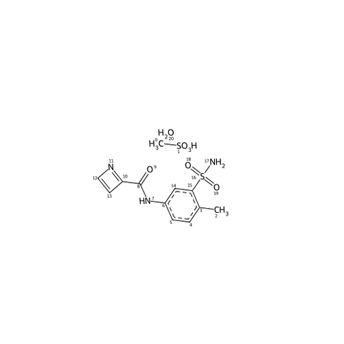 CS(=O)(=O)O.Cc1ccc(NC(=O)C2=NC=C2)cc1S(N)(=O)=O.O